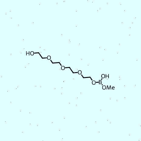 COB(O)OCCOCCOCCOCCO